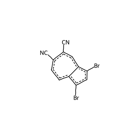 N#Cc1ccc2c(Br)cc(Br)c-2cc1C#N